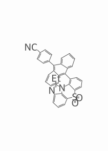 CCc1nc2cccc3c2n1-c1c(-c2c4ccccc4c(-c4ccc(C#N)cc4)c4ccccc24)cccc1S3(=O)=O